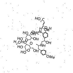 COc1ccc(C[C@@H](C)NC[C@H](O)c2ccc(O)c(NC=O)c2)cc1.O.O=C(O)/C=C/C(=O)O.OC[C@H]1O[C@@H](O[C@H]2[C@H](O)[C@@H](O)[C@H](O)O[C@@H]2CO)[C@H](O)[C@@H](O)[C@H]1O